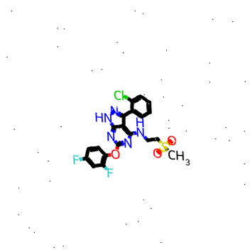 CS(=O)(=O)CCNc1nc(Oc2ccc(F)cc2F)nc2[nH]nc(-c3ccccc3Cl)c12